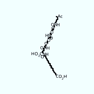 CC(=O)C(C)CCCCNC(=O)COCCOCCNC(=O)COCCOCCNC(=O)CCC(NC(=O)CCCCCCCCCCCCCCCCC(=O)O)C(=O)O